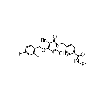 Cc1nc(OCc2ccc(F)cc2F)c(Br)c(=O)n1Cc1ccc(C(=O)NC(C)C)cc1